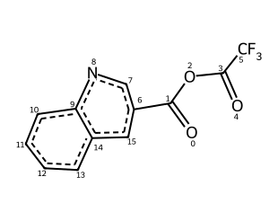 O=C(OC(=O)C(F)(F)F)c1cnc2ccccc2c1